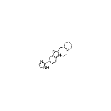 c1c[nH]c(-c2ccc3c(c2)nc2n3CCN3CCCCC3C2)n1